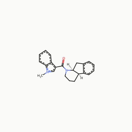 Cn1cc(C(=O)N2CCC[C@@H]3c4ccccc4C[C@@H]32)c2ccccc21